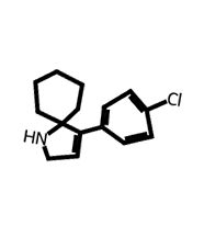 Clc1ccc(C2=CCNC23CCCCC3)cc1